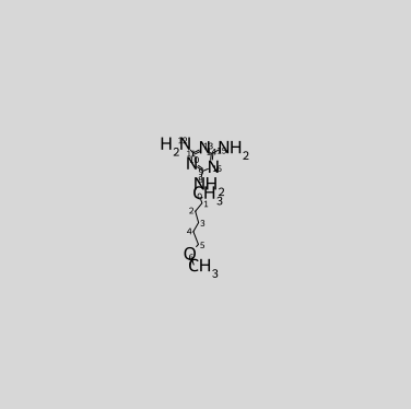 CCCCCCOC.Nc1nc(N)nc(N)n1